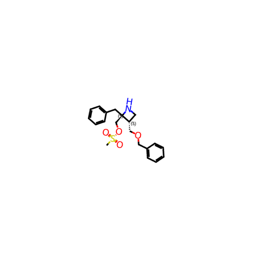 CS(=O)(=O)OC[C@@]1(Cc2ccccc2)NC[C@@H]1COCc1ccccc1